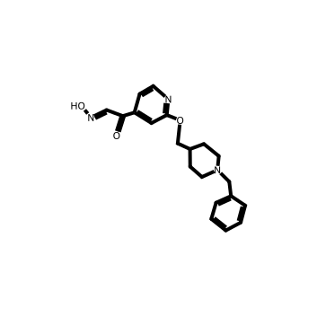 O=C(C=NO)c1ccnc(OCC2CCN(Cc3ccccc3)CC2)c1